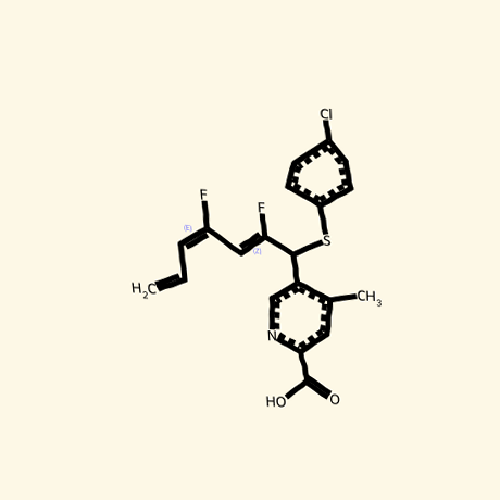 C=C/C=C(F)\C=C(/F)C(Sc1ccc(Cl)cc1)c1cnc(C(=O)O)cc1C